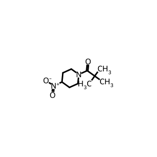 CC(C)(C)C(=O)N1CCC([N+](=O)[O-])CC1